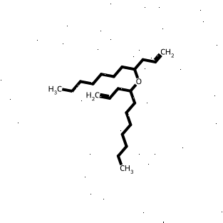 C=CCC(CCCCCCC)OC(CC=C)CCCCCCC